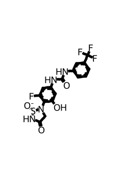 O=C1CN(c2c(O)cc(NC(=O)Nc3cccc(C(F)(F)F)c3)cc2F)[S+]([O-])N1